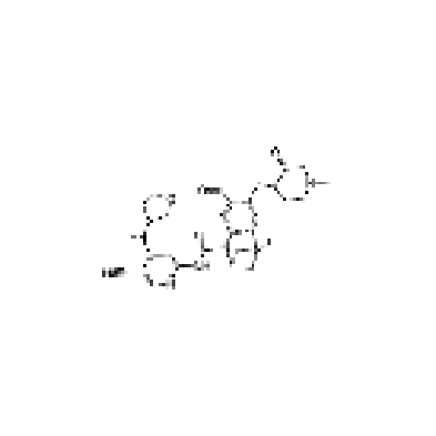 CN1CCN(Cc2cc3c(nc2C=O)N(C(=O)Nc2cc(NC4CCOC4)c(C#N)cn2)C2CC3(F)C2)C(=O)C1